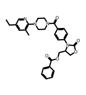 CCc1cnc(N2CCN(C(=O)c3ccc(N4C(=O)OCC4COC(=O)c4ccccc4)cc3)CC2)c(C)c1